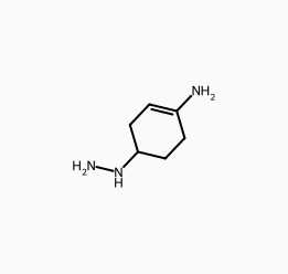 NNC1CC=C(N)CC1